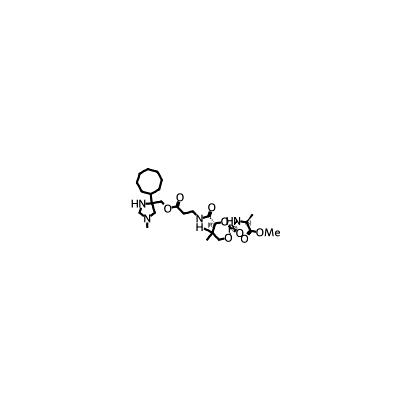 COC(=O)[C@H](C)N[P@@]1(=O)OCC(C)(C)[C@H](C(=O)NCCC(=O)OCC2(C3CCCCCCC3)CN(C)CN2)O1